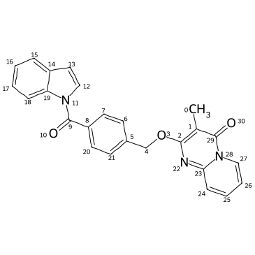 Cc1c(OCc2ccc(C(=O)n3ccc4ccccc43)cc2)nc2ccccn2c1=O